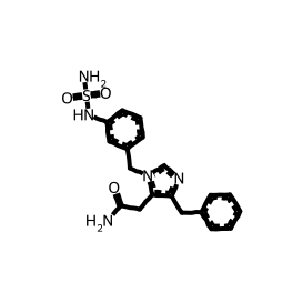 NC(=O)Cc1c(Cc2ccccc2)ncn1Cc1cccc(NS(N)(=O)=O)c1